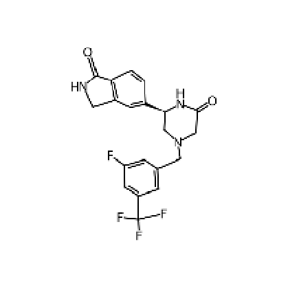 O=C1CN(Cc2cc(F)cc(C(F)(F)F)c2)C[C@@H](c2ccc3c(c2)CNC3=O)N1